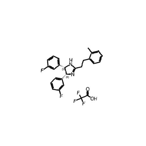 Cc1ccccc1CCC1=N[C@H](c2cccc(F)c2)[C@H](c2cccc(F)c2)N1.O=C(O)C(F)(F)F